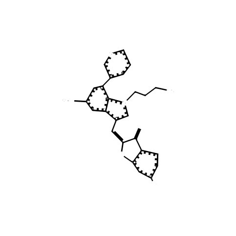 COc1cc(-c2cccnc2)c2c(c1)c(C=C1Oc3cc(O)ccc3C1=O)cn2CCCC#N